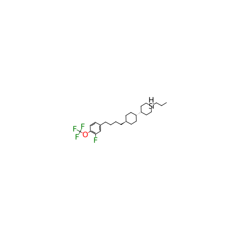 CCC[SiH]1CCC([C@H]2CC[C@H](CCCCc3ccc(OC(F)(F)F)c(F)c3)CC2)CC1